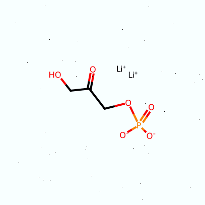 O=C(CO)COP(=O)([O-])[O-].[Li+].[Li+]